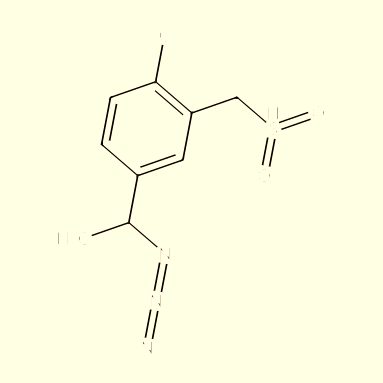 CC(N=[N+]=[N-])c1ccc(Cl)c(C[SH](=O)=O)c1